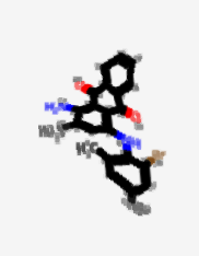 CCCCc1cc(C)c(Nc2cc(S(=O)(=O)O)c(N)c3c2C(=O)c2ccccc2C3=O)c(Br)c1